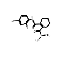 CN(C)C(=O)C1=C(C(=O)Nc2ccc(Cl)cc2F)CCCC1